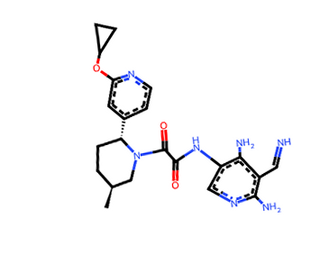 C[C@H]1CC[C@H](c2ccnc(OC3CC3)c2)N(C(=O)C(=O)Nc2cnc(N)c(C=N)c2N)C1